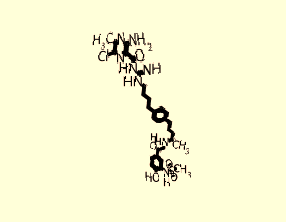 Cc1nc(N)c(C(=O)NC(=N)NCCCCc2ccc(CCC[C@@H](C)NC[C@H](O)c3ccc(O)c(NS(C)(=O)=O)c3)cc2)nc1Cl